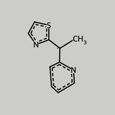 C[C](c1ccccn1)c1nccs1